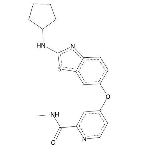 CNC(=O)c1cc(Oc2ccc3nc(NC4CCCC4)sc3c2)ccn1